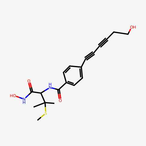 CSC(C)(C)C(NC(=O)c1ccc(C#CC#CCCO)cc1)C(=O)NO